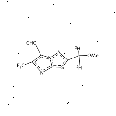 [2H]C([2H])(OC)c1nn2c(C=O)c(C(F)(F)F)nc2s1